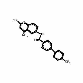 CCCc1cc(N)c2cc(NC(=O)c3ccc(-c4ccc(C(F)(F)F)cc4)cc3)ccc2n1